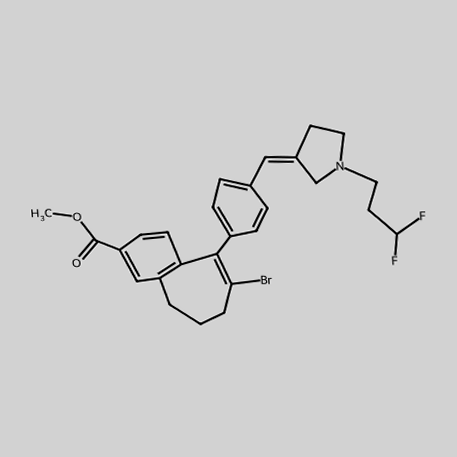 COC(=O)c1ccc2c(c1)CCCC(Br)=C2c1ccc(C=C2CCN(CCC(F)F)C2)cc1